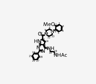 COc1ccccc1N1CCN(C(=O)c2cc3c(NCCNC(C)=O)nc(-c4ccccc4)nc3[nH]2)CC1